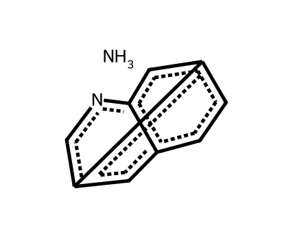 N.c1cc2cc3cnc2cc13